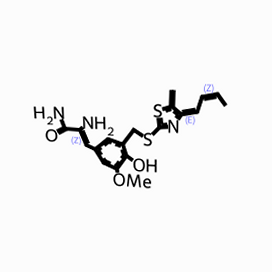 C=c1sc(SCc2cc(/C=C(\N)C(N)=O)cc(OC)c2O)n/c1=C/C=C\C